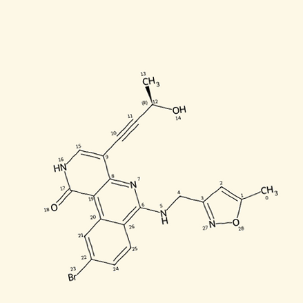 Cc1cc(CNc2nc3c(C#C[C@@H](C)O)c[nH]c(=O)c3c3cc(Br)ccc23)no1